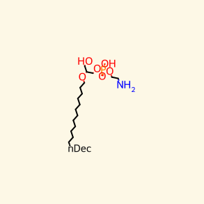 CCCCCCCCCCCCCCCCCCCCCCOC(CO)COP(=O)(O)OCCN